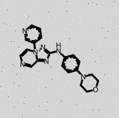 C1=C[N+]2(c3cccnc3)N=C(Nc3ccc(N4CCOCC4)cc3)N=C2C=N1